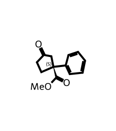 COC(=O)[C@@]1(c2ccccc2)CCC(=O)C1